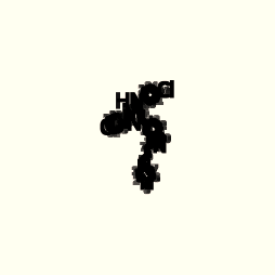 CN1CCN(CCCn2ncc3ccc(-c4cc(Nc5ccc(Cl)cc5)nc(N5CCOCC5)n4)cc32)CC1